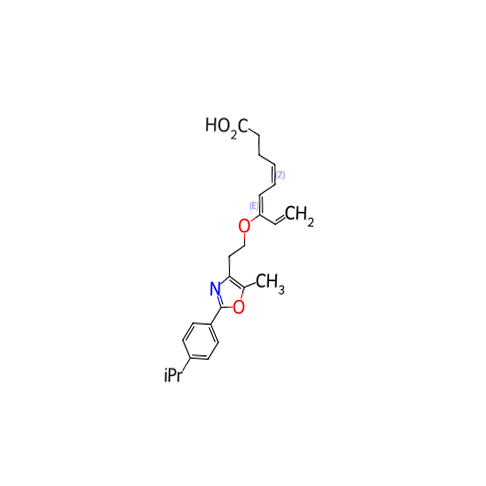 C=C/C(=C\C=C/CCC(=O)O)OCCc1nc(-c2ccc(C(C)C)cc2)oc1C